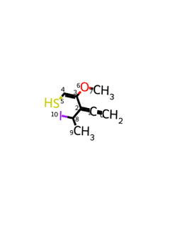 C=C=C(/C(=C\S)OC)C(C)I